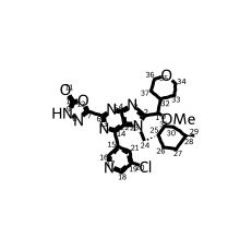 COC(c1nc2nc(-c3n[nH]c(=O)o3)nc(-c3cncc(Cl)c3)c2n1C[C@H]1CC[C@H](C)CC1)C1CCOCC1